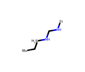 CCNCN[SiH2]CC(C)(C)C